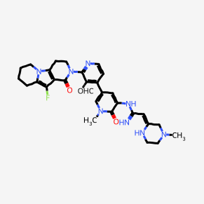 CN1CCN/C(=C\C(=N)Nc2cc(-c3ccnc(N4CCc5c(c(F)c6n5CCCC6)C4=O)c3C=O)cn(C)c2=O)C1